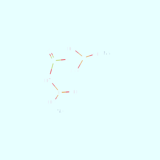 O=S([O-])[O-].OP(O)O.OP(O)O.[Na+].[Na+]